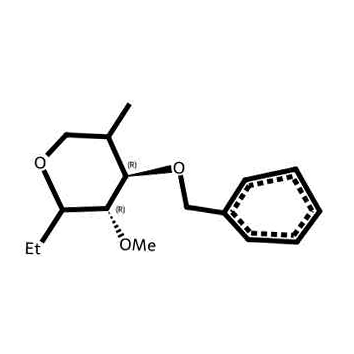 CCC1OCC(C)[C@@H](OCc2ccccc2)[C@@H]1OC